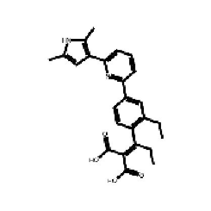 CCC(=C(C(=O)O)C(=O)O)c1ccc(-c2cccc(-c3cc(C)[nH]c3C)n2)cc1CC